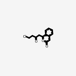 O=C(CCCl)Cc1oc(=O)cc2ccccc12